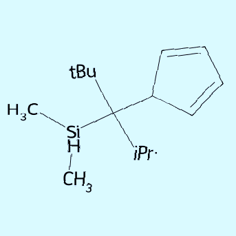 C[C](C)C(C1C=CC=C1)([SiH](C)C)C(C)(C)C